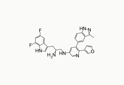 Cc1n[nH]c2ccc(-c3cc(NC[C@@H](N)Cc4c[nH]c5c(F)cc(F)cc45)cnc3-c3ccoc3)cc12